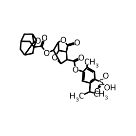 Cc1cc(S(=O)(=O)O)c(C(C)C)cc1OC(=O)C1C2OC3C(OC(=O)C31)C2OC(=O)C12CC3CC(C1)C(=O)C(C3)C2